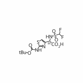 CC(C)(C)OC(=O)Nc1nc([C@@H](NS(=O)(=O)C(F)F)C(=O)O)cs1